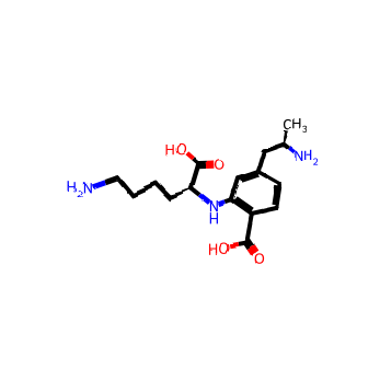 C[C@@H](N)Cc1ccc(C(=O)O)c(N[C@@H](CCCCN)C(=O)O)c1